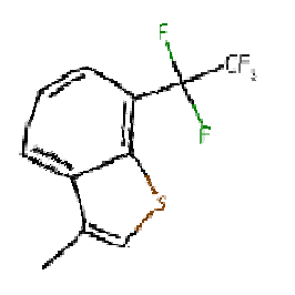 Cc1[c]sc2c(C(F)(F)C(F)(F)F)cccc12